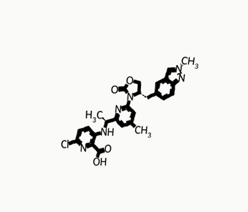 Cc1cc([C@@H](C)Nc2ccc(Cl)nc2C(=O)O)nc(N2C(=O)OC[C@@H]2Cc2ccc3nn(C)cc3c2)c1